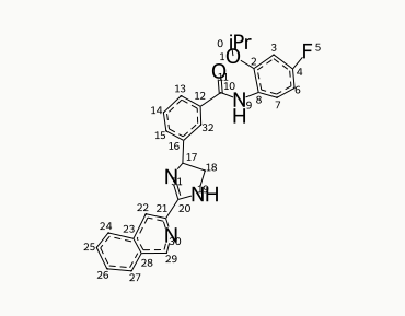 CC(C)Oc1cc(F)ccc1NC(=O)c1cccc(C2CNC(c3cc4ccccc4cn3)=N2)c1